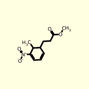 COC(=O)CCC1C=CC=C([N+](=O)[O-])C1C